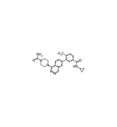 Cc1ccc(C(=O)NC2CC2)cc1-c1ccc2c(N3CCN(C(N)=O)CC3)nncc2c1